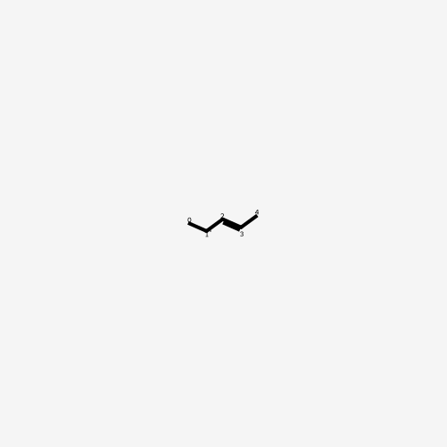 C[CH]/C=C/C